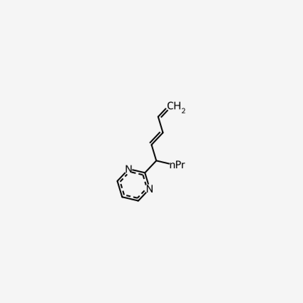 C=CC=CC(CCC)c1ncccn1